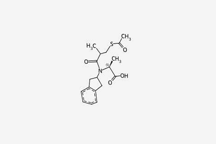 CC(=O)SCC(C)C(=O)N(C1Cc2ccccc2C1)[C@@H](C)C(=O)O